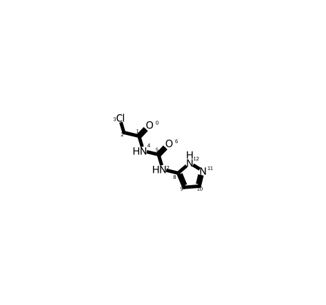 O=C(CCl)NC(=O)Nc1ccn[nH]1